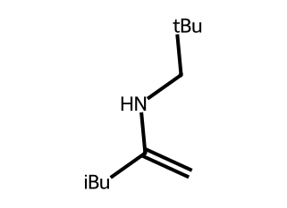 C=C(NCC(C)(C)C)C(C)CC